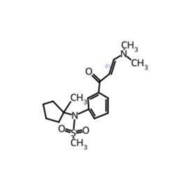 CN(C)/C=C/C(=O)c1cccc(N(C2(C)CCCC2)S(C)(=O)=O)c1